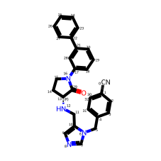 N#Cc1ccc(Cn2cncc2CN[C@@H]2CCN(c3cccc(-c4ccccc4)c3)C2=O)cc1